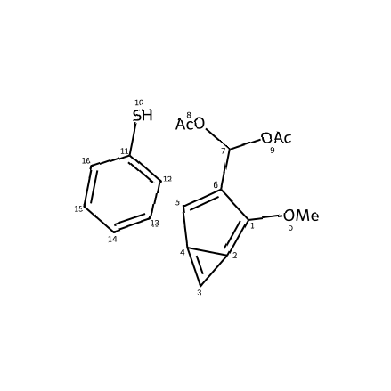 COc1c2cc-2cc1C(OC(C)=O)OC(C)=O.Sc1ccccc1